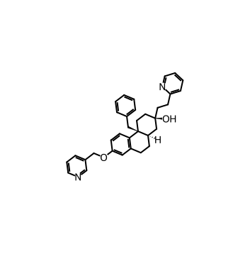 O[C@]1(CCc2ccccn2)CC[C@@]2(Cc3ccccc3)c3ccc(OCc4cccnc4)cc3CC[C@@H]2C1